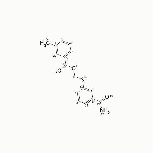 Cc1cccc(C(=O)OCSc2cccc(C(N)=O)c2)c1